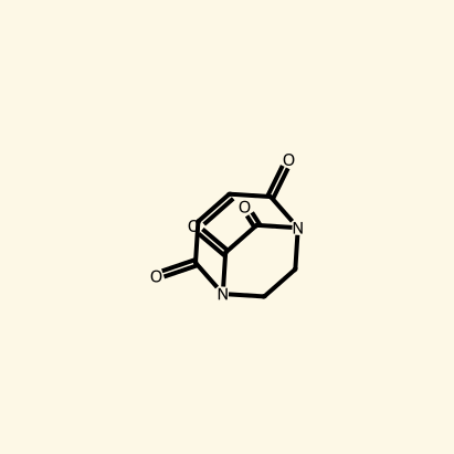 O=c1ccc(=O)n2c(=O)c(=O)n1CC2